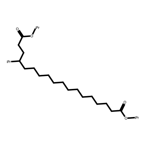 CC(C)OC(=O)CCCCCCCCCCCCCC(CCC(=O)OC(C)C)C(C)C